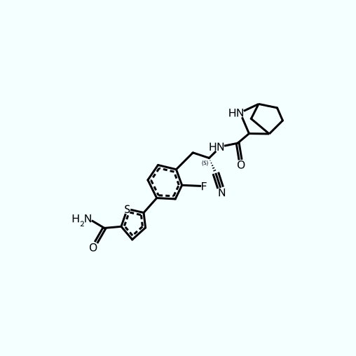 N#C[C@H](Cc1ccc(-c2ccc(C(N)=O)s2)cc1F)NC(=O)C1NC2CCC1C2